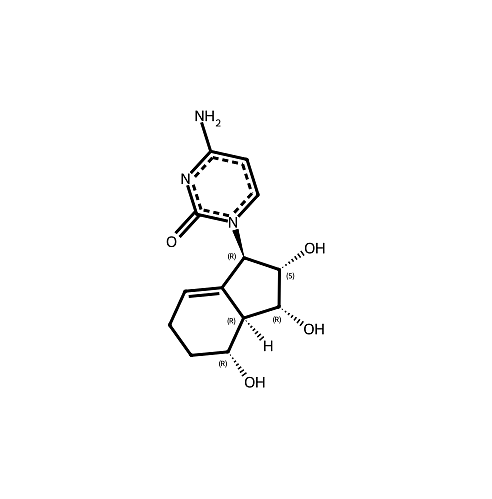 Nc1ccn([C@@H]2C3=CCC[C@@H](O)[C@@H]3[C@@H](O)[C@H]2O)c(=O)n1